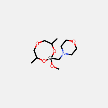 CO[Si]1(CN2CCOCC2)OC(C)COCC(C)O1